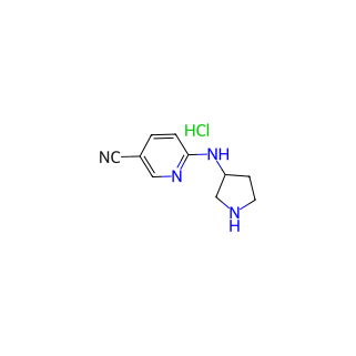 Cl.N#Cc1ccc(NC2CCNC2)nc1